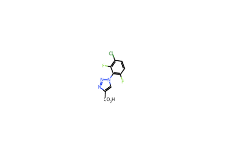 O=C(O)c1cn(-c2c(F)ccc(Cl)c2F)nn1